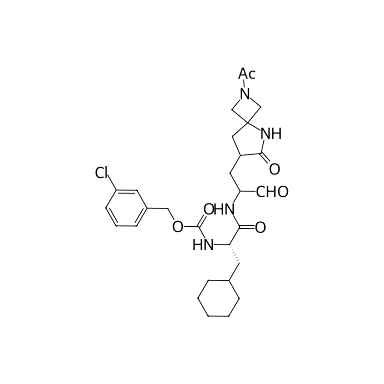 CC(=O)N1CC2(CC(CC(C=O)NC(=O)[C@H](CC3CCCCC3)NC(=O)OCc3cccc(Cl)c3)C(=O)N2)C1